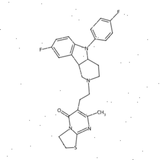 Cc1nc2n(c(=O)c1CCN1CCC3C(C1)c1cc(F)ccc1N3c1ccc(F)cc1)CCS2